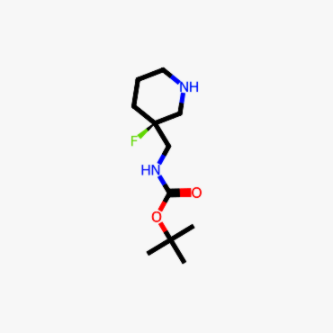 CC(C)(C)OC(=O)NC[C@]1(F)CCCNC1